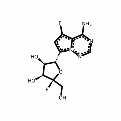 Nc1ncnn2c([C@@H]3O[C@](F)(CO)[C@@H](O)[C@H]3O)cc(F)c12